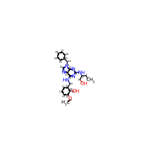 CCC(CO)Nc1nc(NCc2cccc(OC)c2O)c2ncn(Cc3ccccc3)c2n1